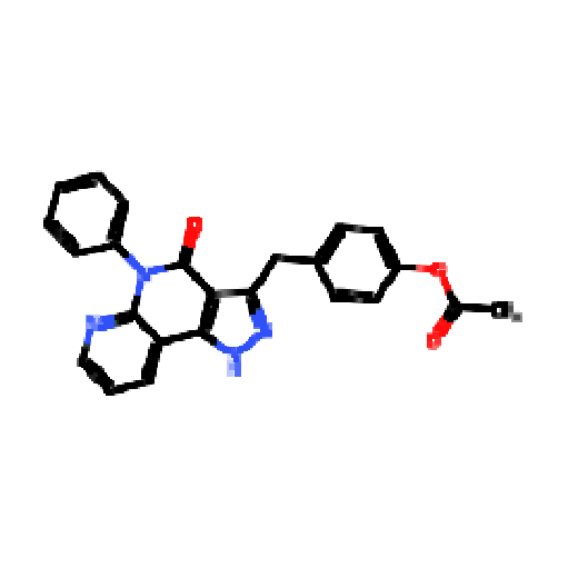 CC(=O)Oc1ccc(Cc2n[nH]c3c2c(=O)n(-c2ccccc2)c2ncccc32)cc1